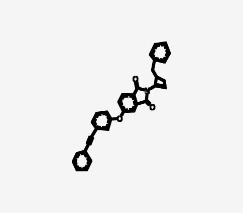 O=C1c2ccc(Oc3cccc(C#Cc4ccccc4)c3)cc2C(=O)N1C1=CCC1Cc1ccccc1